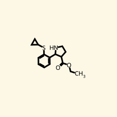 CCOC(=O)C1CCNC1c1ccccc1SC1CC1